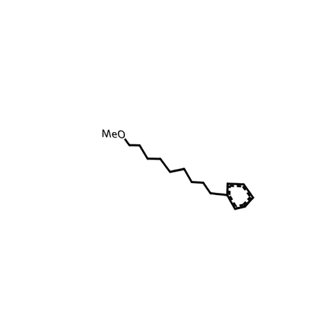 [CH2]OCCCCCCCCCc1ccccc1